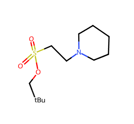 CC(C)(C)COS(=O)(=O)CCN1CCCCC1